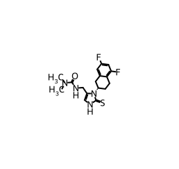 CN(C)C(=O)NCc1c[nH]c(=S)n1[C@H]1CCc2c(F)cc(F)cc2C1